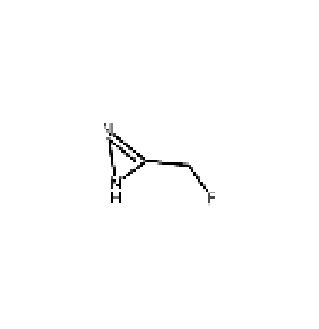 FCC1=NN1